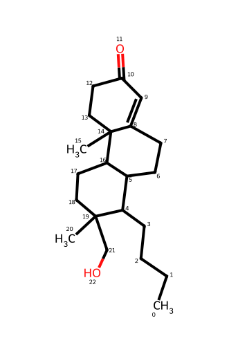 CCCCC1C2CCC3=CC(=O)CCC3(C)C2CCC1(C)CO